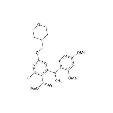 COC(=O)c1c(F)cc(OCC2CCOCC2)cc1N(C)c1ccc(OC)cc1OC